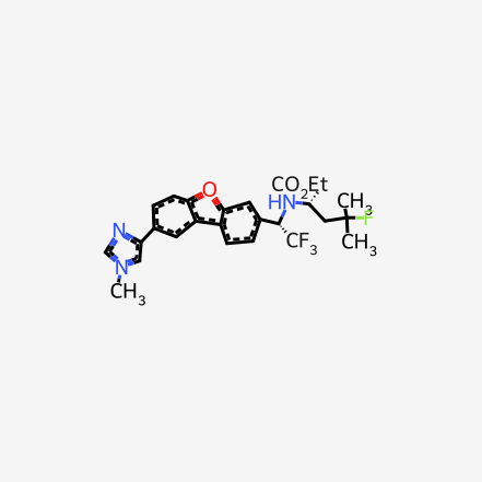 CCOC(=O)[C@H](CC(C)(C)F)N[C@@H](c1ccc2c(c1)oc1ccc(-c3cn(C)cn3)cc12)C(F)(F)F